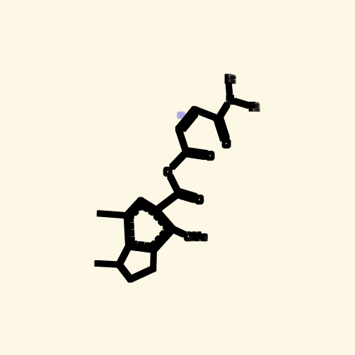 CCN(CC)C(=O)/C=C\C(=O)OC(=O)c1cc(C)c2c(c1OC)CCC2C